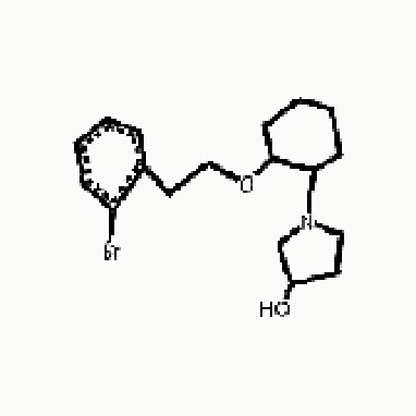 OC1CCN(C2CCCCC2OCCc2ccccc2Br)C1